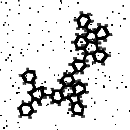 c1ccc(-c2cc(-c3ccccc3)nc(-c3ccc(-n4c5ccccc5c5ccccc54)c(-c4ccc(-c5ccc(N6c7ccccc7B7c8ccccc8N(c8ccccc8)c8cccc6c87)cc5)cc4)c3)n2)cc1